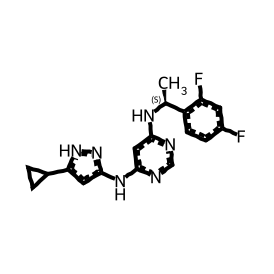 C[C@H](Nc1cc(Nc2cc(C3CC3)[nH]n2)ncn1)c1ccc(F)cc1F